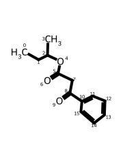 CCC(C)OC(=O)CC(=O)c1ccccc1